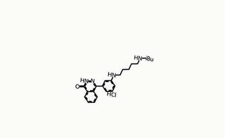 CCC(C)NCCCCCNc1cccc(-c2n[nH]c(=O)c3ccccc23)c1.Cl